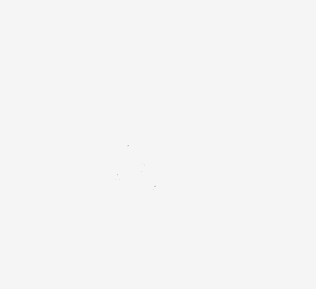 C[C](=O)[Zr]([C](C)=O)([C](C)=O)[CH]1C=Cc2ccccc21